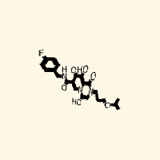 CC(C)OCCCN1CC(O)n2cc(C(=O)NCc3ccc(F)cc3)c(=O)c(O)c2C1=O